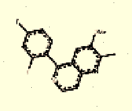 COc1cc2c(-c3ccc(F)cc3F)nccc2nc1C